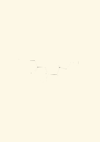 CCOC(=O)CC(=O)[CH2][Al]([CH2]C(=O)CC(=O)OCC)[O]CC(C)C